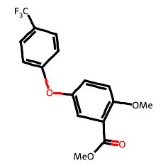 COC(=O)c1cc(Oc2ccc(C(F)(F)F)cc2)ccc1OC